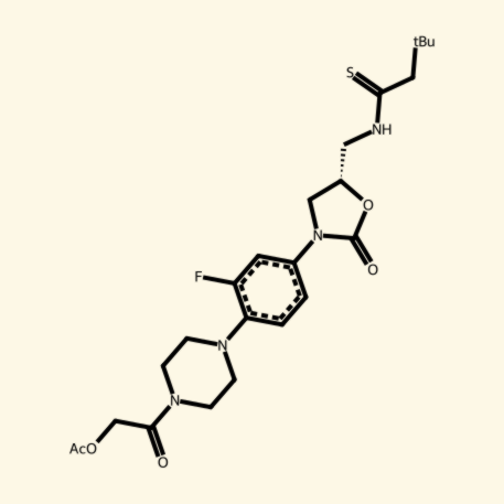 CC(=O)OCC(=O)N1CCN(c2ccc(N3C[C@H](CNC(=S)CC(C)(C)C)OC3=O)cc2F)CC1